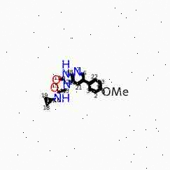 COc1ccc(-c2cnc3[nH]c(=O)n(CC(=O)NC4CC4)c3c2)cc1